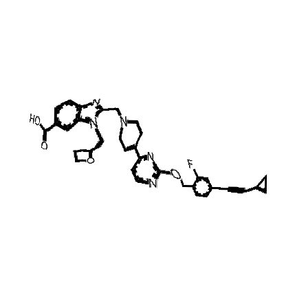 O=C(O)c1ccc2nc(CN3CC=C(c4ccnc(OCc5ccc(C#CC6CC6)cc5F)n4)CC3)n(CC3CCO3)c2c1